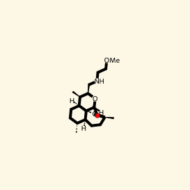 COCCNC[C@H]1O[C@@H]2O[C@@]3(C)CC[C@H]4[C@H](C)CC[C@@H]([C@H]1C)[C@@]24OO3